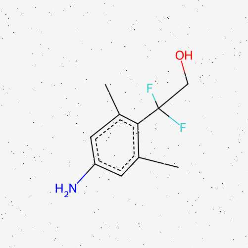 Cc1cc(N)cc(C)c1C(F)(F)CO